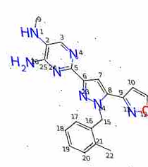 CNc1cnc(-c2cc(-c3ccon3)n(Cc3ccccc3C)n2)nc1N